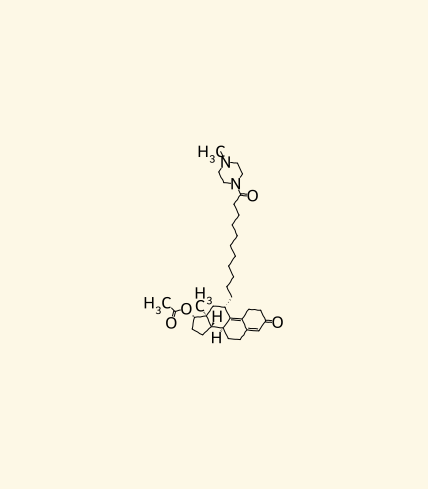 CC(=O)O[C@H]1CC[C@H]2[C@@H]3CCC4=CC(=O)CCC4=C3[C@@H](CCCCCCCCCCC(=O)N3CCN(C)CC3)C[C@]12C